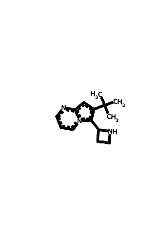 CC(C)(C)c1cc2ncccn2c1C1CCN1